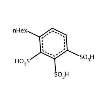 CCCCCCc1ccc(S(=O)(=O)O)c(S(=O)(=O)O)c1S(=O)(=O)O